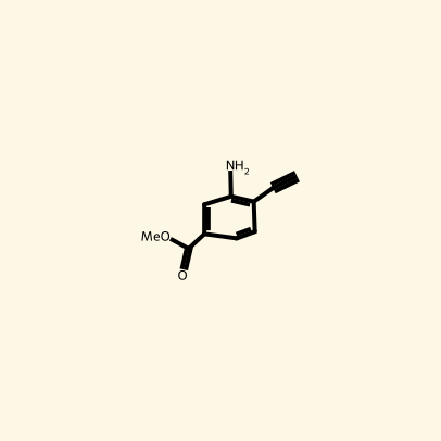 C#Cc1ccc(C(=O)OC)cc1N